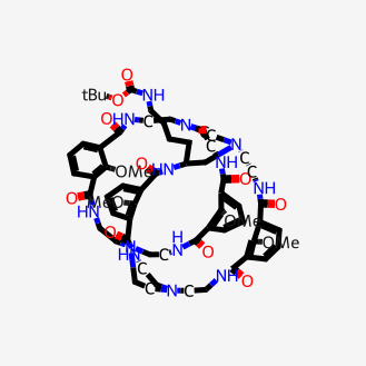 COc1c2cccc1C(=O)NCCN1CCNC(=O)c3cccc(c3OC)C(=O)NCCN(CCNC2=O)CCN2CCNC(=O)c3cccc(c3OC)C(=O)NCCN(CC1)CC(CCCCNC(=O)OC(C)(C)C)NC(=O)c1cccc(c1OC)C(=O)NCC2